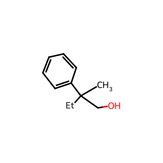 CCC(C)(CO)c1ccccc1